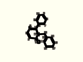 O=c1ccnc(-c2ccccc2)n1Cc1ccccc1